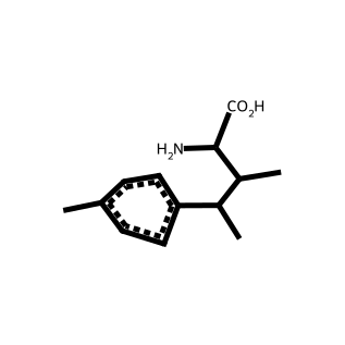 Cc1ccc(C(C)C(C)C(N)C(=O)O)cc1